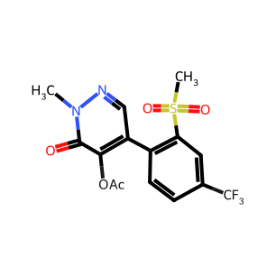 CC(=O)Oc1c(-c2ccc(C(F)(F)F)cc2S(C)(=O)=O)cnn(C)c1=O